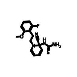 COc1cccc(F)c1CCN1C=CC=CC1(C#N)NC(N)=S